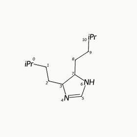 CC(C)CCC1N=CNC1CCC(C)C